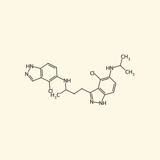 CC(C)Nc1ccc2[nH]nc(CCC(C)Nc3ccc4[nH]ncc4c3Cl)c2c1Cl